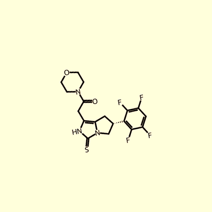 O=C(Cc1[nH]c(=S)n2c1C[C@H](c1c(F)c(F)cc(F)c1F)C2)N1CCOCC1